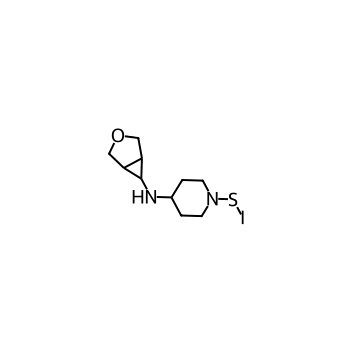 ISN1CCC(NC2C3COCC32)CC1